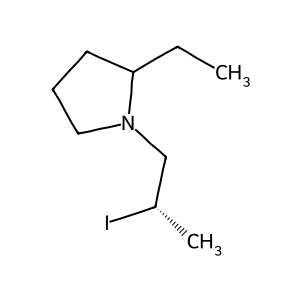 CCC1CCCN1C[C@H](C)I